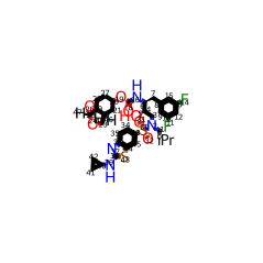 CC(C)CN(C[C@@H](O)[C@H](Cc1cc(F)cc(F)c1)NC(=O)OC1C[C@@H]2CO[C@@H]3OC1C[C@H]23)S(=O)(=O)c1ccc2nc(NC3CC3)sc2c1